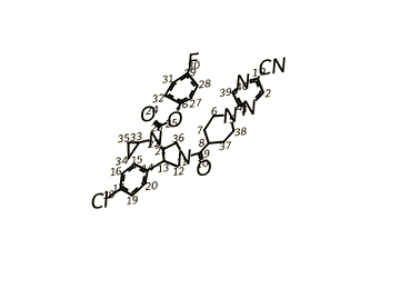 N#Cc1cnc(N2CCC(C(=O)N3CC(c4ccc(Cl)cc4)C(N(C(=O)Oc4ccc(F)cc4)C4CC4)C3)CC2)cn1